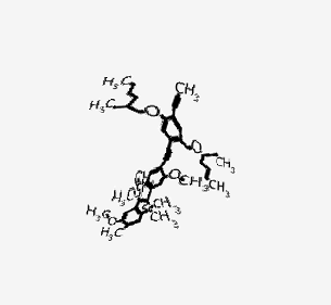 CC#Cc1cc(COC(CC)CCCC)c(C#Cc2cc3c(cc2OC)C2=C(c4cc(OC)c(C)cc4[Si]2(C)C)[Si]3(C)C)cc1OCC(CC)CCCC